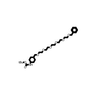 CC(C)(C)OC(=O)NC1CCC(COCCOCCOCCOCCOCCOCc2ccccc2)CC1